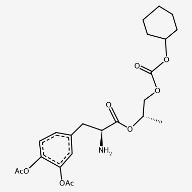 CC(=O)Oc1ccc(C[C@H](N)C(=O)O[C@@H](C)COC(=O)OC2CCCCC2)cc1OC(C)=O